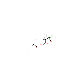 C=CC(=O)OCC1OC(O)(C(F)(F)F)C(F)(F)C1(C)OC(C)=O